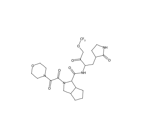 O=C1NCCC1CC(NC(=O)C1C2CCCC2CN1C(=O)C(=O)N1CCOCC1)C(=O)COC(F)(F)F